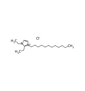 CCCCCCCCCCCC[n+]1ccn(CC)c1CC.[Cl-]